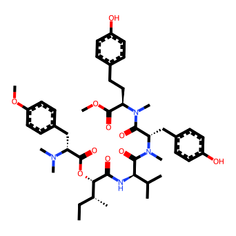 CC[C@@H](C)[C@H](OC(=O)[C@@H](Cc1ccc(OC)cc1)N(C)C)C(=O)N[C@@H](C(=O)N(C)[C@@H](Cc1ccc(O)cc1)C(=O)N(C)[C@H](CCc1ccc(O)cc1)C(=O)OC)C(C)C